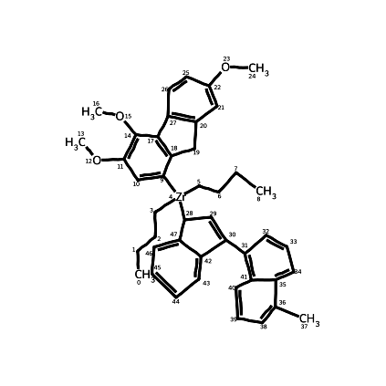 CCC[CH2][Zr]([CH2]CCC)([c]1cc(OC)c(OC)c2c1Cc1cc(OC)ccc1-2)[CH]1C=C(c2cccc3c(C)cccc23)c2ccccc21